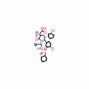 C[C@]1(CC(=O)O)C[C@H](c2cccc(Cl)c2)C(c2ccc(Cl)cc2)N(C(CNS(=O)(=O)Cc2ccccc2)C2CC2)C1=O